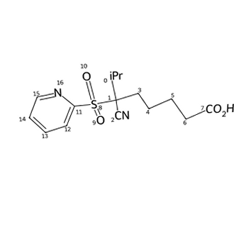 CC(C)C(C#N)(CCCCC(=O)O)S(=O)(=O)c1ccccn1